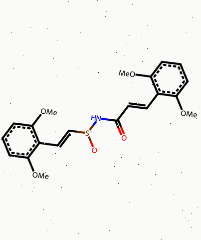 COc1cccc(OC)c1C=CC(=O)N[S+]([O-])C=Cc1c(OC)cccc1OC